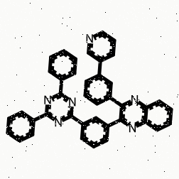 c1ccc(-c2nc(-c3ccccc3)nc(-c3cccc(-c4nc5ccccc5nc4-c4cccc(-c5cccnc5)c4)c3)n2)cc1